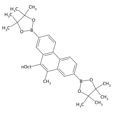 CCCCCCCCc1c(C)c2cc(B3OC(C)(C)C(C)(C)O3)ccc2c2ccc(B3OC(C)(C)C(C)(C)O3)cc12